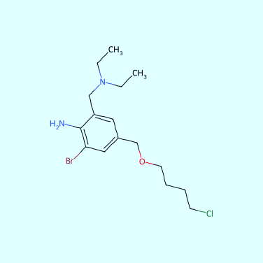 CCN(CC)Cc1cc(COCCCCCl)cc(Br)c1N